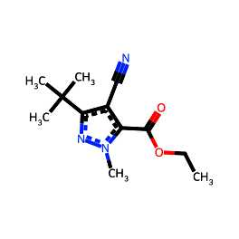 CCOC(=O)c1c(C#N)c(C(C)(C)C)nn1C